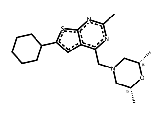 Cc1nc(CN2C[C@@H](C)O[C@@H](C)C2)c2cc(C3CCCCC3)sc2n1